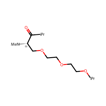 CN[C@@H](COCCOCCOC(C)C)C(=O)C(C)C